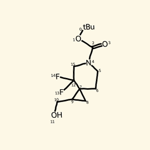 CC(C)(C)OC(=O)N1CCC2(CC2CO)C(F)(F)C1